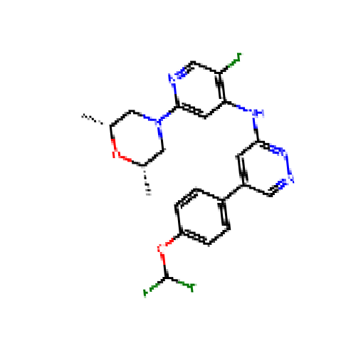 C[C@@H]1CN(c2cc(Nc3cc(-c4ccc(OC(F)F)cc4)cnn3)c(F)cn2)C[C@H](C)O1